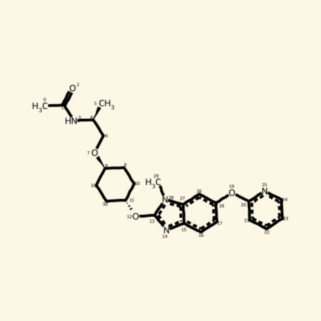 CC(=O)N[C@@H](C)CO[C@H]1CC[C@H](Oc2nc3ccc(Oc4ccccn4)cc3n2C)CC1